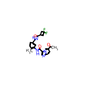 CC(=O)c1ccc2ncc(C(=O)Nc3cc(-c4noc(C5CC(F)(F)C5)n4)ccc3C)n2c1